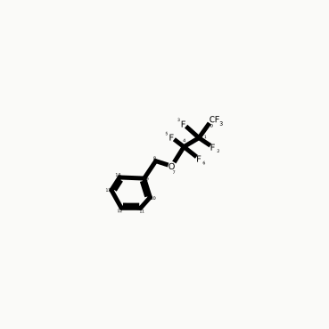 FC(F)(F)C(F)(F)C(F)(F)OCc1ccccc1